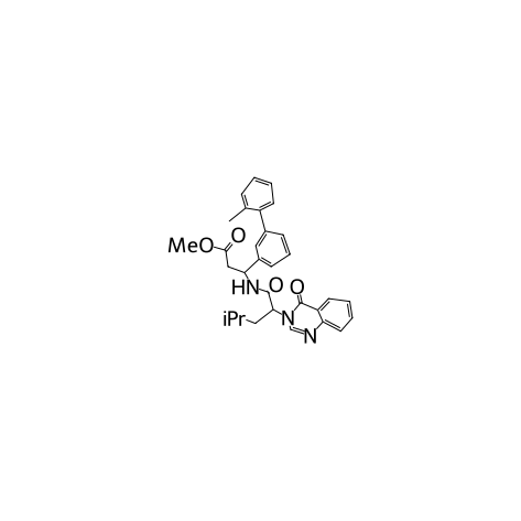 COC(=O)CC(NC(=O)C(CC(C)C)n1cnc2ccccc2c1=O)c1cccc(-c2ccccc2C)c1